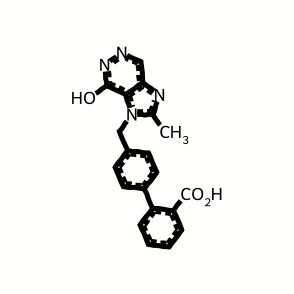 Cc1nc2cnnc(O)c2n1Cc1ccc(-c2ccccc2C(=O)O)cc1